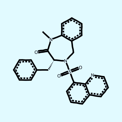 CN1C(=O)[C@@H](Cc2ccccc2)N(S(=O)(=O)c2cccc3cccnc23)Cc2ccccc21